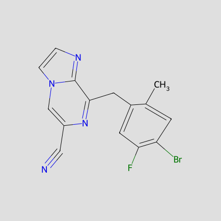 Cc1cc(Br)c(F)cc1Cc1nc(C#N)cn2ccnc12